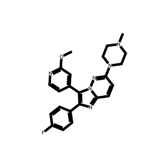 COc1cc(-c2c(-c3ccc(F)cc3)nc3ccc(N4CCN(C)CC4)nn23)ccn1